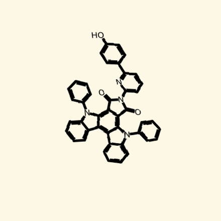 O=C1c2c(c3c(c4ccccc4n3-c3ccccc3)c3c4ccccc4n(-c4ccccc4)c23)C(=O)N1c1cccc(-c2ccc(O)cc2)n1